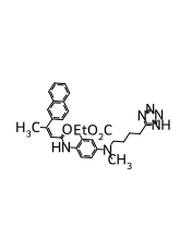 CCOC(=O)c1cc(N(C)CCCCc2nnn[nH]2)ccc1NC(=O)/C=C(/C)c1ccc2ccccc2c1